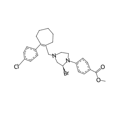 COC(=O)c1ccc(N2CCN(CC3=C(c4ccc(Cl)cc4)CCCCC3)C[C@@H]2Br)cc1